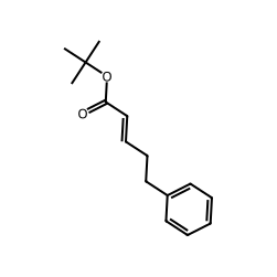 CC(C)(C)OC(=O)C=CCCc1ccccc1